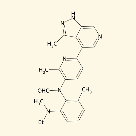 CCN(C)c1cccc(C)c1N(C=O)c1ccc(-c2cncc3[nH]nc(C)c23)nc1C